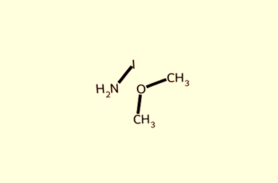 COC.NI